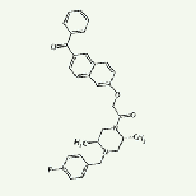 C[C@@H]1CN(Cc2ccc(F)cc2)[C@@H](C)CN1C(=O)COc1ccc2cc(C(=O)c3ccccc3)ccc2c1